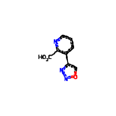 O=C(O)c1ncccc1-c1conn1